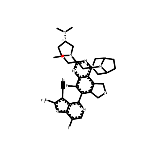 COCCCN1CC2CCC(C1)N2c1nc(N2CC[C@H](N(C)C)C2)nc2c(F)c(-c3ncc(F)c4sc(N)c(C#N)c34)c3c(c12)COC3